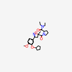 CCN(CC)C(=O)C1CCCN1C(=O)C1(C)CC(c2ccc(OC)c(OC3CCCC3)c2)=NO1